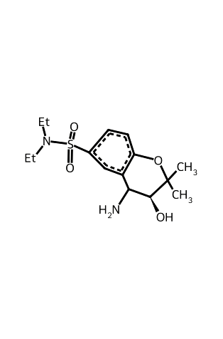 CCN(CC)S(=O)(=O)c1ccc2c(c1)C(N)[C@H](O)C(C)(C)O2